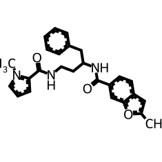 Cc1cc2ccc(C(=O)NC(CCNC(=O)c3cccn3C)Cc3ccccc3)cc2o1